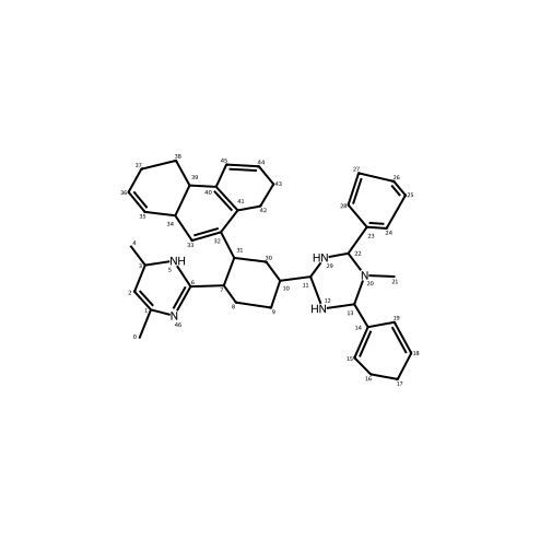 CC1=CC(C)NC(C2CCC(C3NC(C4=CCCC=C4)N(C)C(c4ccccc4)N3)CC2C2=CC3C=CCCC3C3=C2CCC=C3)=N1